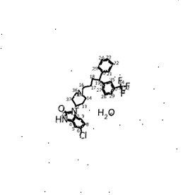 O.O=c1[nH]c2cc(Cl)ccc2n1C1CCN(CCCC(c2ccccc2)c2cccc(C(F)(F)F)c2)CC1